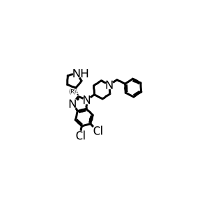 Clc1cc2nc([C@@H]3CCNC3)n(C3CCN(Cc4ccccc4)CC3)c2cc1Cl